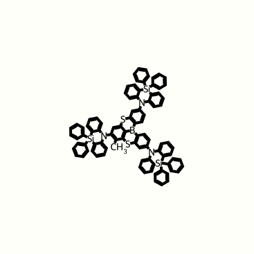 Cc1c(N2c3ccccc3[Si](c3ccccc3)(c3ccccc3)c3ccccc32)cc2c3c1Sc1cc(N4c5ccccc5[Si](c5ccccc5)(c5ccccc5)c5ccccc54)ccc1B3c1ccc(N3c4ccccc4[Si](c4ccccc4)(c4ccccc4)c4ccccc43)cc1S2